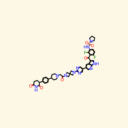 O=C1CCC(c2ccc(C3CCN(CC(=O)N4CC5(C4)CN(c4ncc(-c6cnc7[nH]cc(C(=O)c8c(F)ccc(NS(=O)(=O)N9CCCC9)c8F)c7c6)cn4)C5)CC3)cc2)C(=O)N1